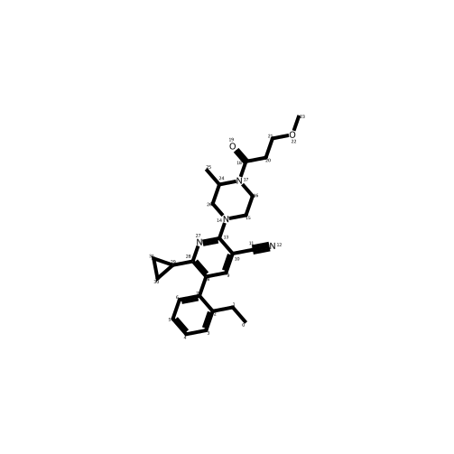 CCc1ccccc1-c1cc(C#N)c(N2CCN(C(=O)CCOC)C(C)C2)nc1C1CC1